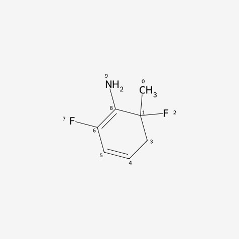 CC1(F)CC=CC(F)=C1N